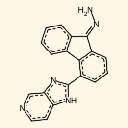 N/N=C1\c2ccccc2-c2c1cccc2-c1nc2cnccc2[nH]1